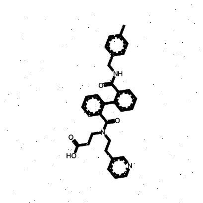 Cc1ccc(CNC(=O)c2ccccc2-c2ccccc2C(=O)N(CCC(=O)O)CCc2cccnc2)cc1